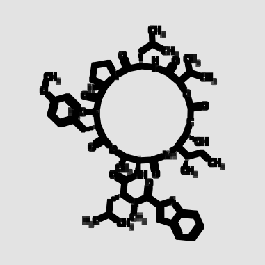 CC[C@H](C)[C@H]1NC(=O)[C@@H](NC(=O)[C@@H](CC(C)C)N(C)C(=O)c2cc3ccccc3s2)[C@@H](C)OC(=O)[C@H](Cc2ccc(OC)cc2)N(C)C(=O)[C@@H]2CCCN2C(=O)[C@H](CC(C)C)NC(=O)C(C(C)C)OC(=O)C[C@@H]1O